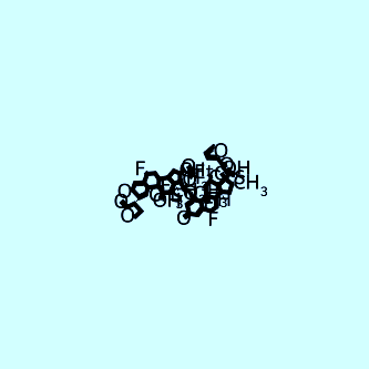 CCC(=O)OC1(C(=S)OC2=CC(=O)C=C3C(F)C[C@H]4[C@@H]5CC(C)C(OC(=O)c6ccco6)(C(O)=S)[C@@]5(C)CCC4(F)[C@@]23C)C(C)CC2C3CC(F)C4=CC(=O)C([C@@H]5CCOC5=O)=C[C@]4(C)[C@]3(F)C(O)C[C@@]21C